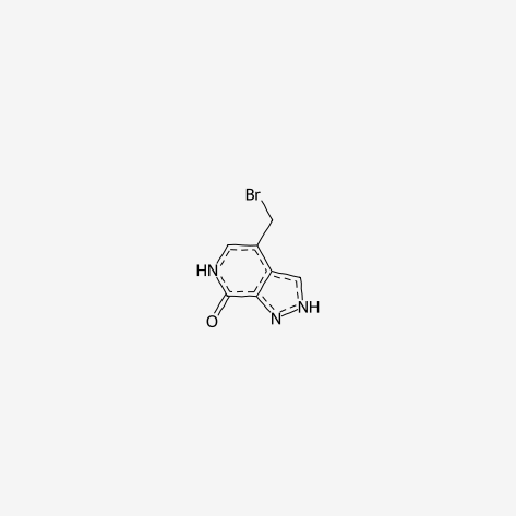 O=c1[nH]cc(CBr)c2c[nH]nc12